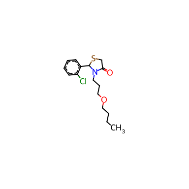 CCCCOCCCN1C(=O)CSC1c1ccccc1Cl